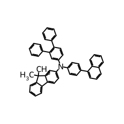 CC1(C)c2ccccc2-c2ccc(N(c3ccc(-c4cccc5ccccc45)cc3)c3ccc(-c4ccccc4)c(-c4ccccc4)c3)cc21